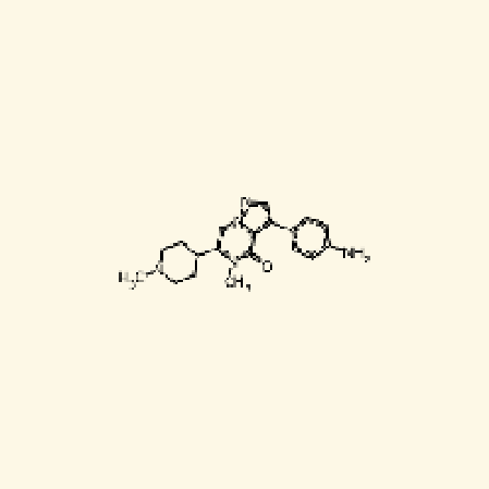 CN1CCC(c2cn3ncc(-c4ccc(N)cc4)c3c(=O)n2C)CC1